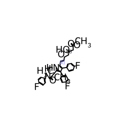 COC(=O)C[C@H](O)CC(=O)/C=C/c1[nH]c(C(C)(C)C(=O)Nc2ccc(F)cc2)c(-c2ccc(F)cc2)c1-c1ccc(F)cc1